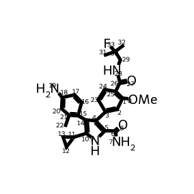 COc1cc(-c2c(C(N)=O)[nH]c(C3CC3)c2-c2ccc(N)cc2C)ccc1C(=O)NCC(C)(C)F